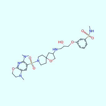 CNS(=O)(=O)c1cccc(OC[C@@H](O)CNC2COC3(CCN(S(=O)(=O)c4cc5c(nc4N(C)C)OCCN5C)CC3)C2)c1